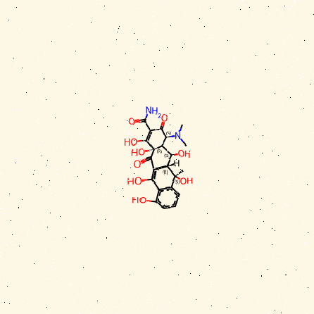 CN(C)[C@@H]1C(=O)C(C(N)=O)=C(O)[C@@]2(O)C(=O)C3=C(O)c4c(O)cccc4[C@@](C)(O)[C@H]3[C@H](O)C12